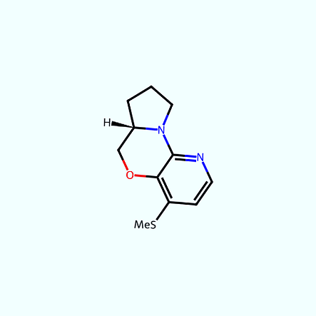 CSc1ccnc2c1OC[C@@H]1CCCN21